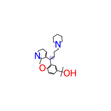 CC(C)(O)c1ccc2c(c1)/C(=C/CCN1CCCCC1)C1=CCCN=C1CO2